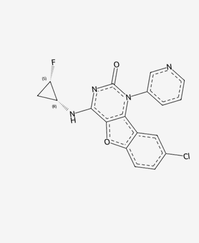 O=c1nc(N[C@@H]2C[C@@H]2F)c2oc3ccc(Cl)cc3c2n1-c1cccnc1